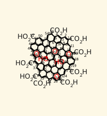 O=C(O)C1=Cc2cc3c4c5c2C2C1CC16OC17C1=C8C(=CC=C9C(C(=O)O)C%10=CC%11=C(C(=O)O)C=C%12C(C(=O)O)C%13=CC(C(=O)O)C%14=CC%15=C(C(=O)O)C%16=CC%17=CC=C%18C%19=C%20C(=CC%18C(=O)O)C(=CC3C(=O)O)C4C3=C%20C4=C%18C%20C%21=C%22C%23=C%24C%25=C%26C(=C%14C%13C%25C%12%13OC%11%13C%24=C%10C(O)(C98)C%23C1C%21C1(OC51C3%20)C27)C%15C(C%18C%26%22O)C%16C41OC%17%191)C6C(=O)O